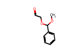 COC(OCC=O)c1ccccc1